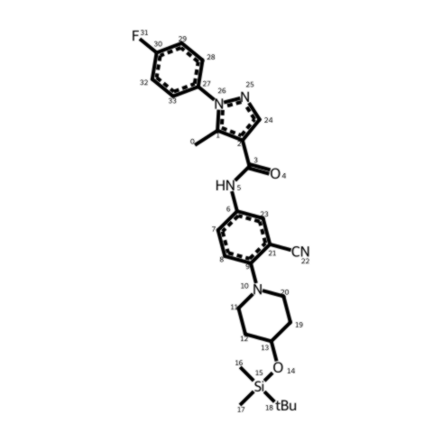 Cc1c(C(=O)Nc2ccc(N3CCC(O[Si](C)(C)C(C)(C)C)CC3)c(C#N)c2)cnn1-c1ccc(F)cc1